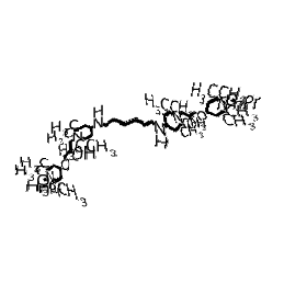 CCCON1C(C)(C)CC(OCC(O)CN2C(C)(C)CC(NCCCCCCNC3CC(C)(C)N(CC(O)COC4CC(C)(C)N(OCCC)C(C)(C)C4)C(C)(C)C3)CC2(C)C)CC1(C)C